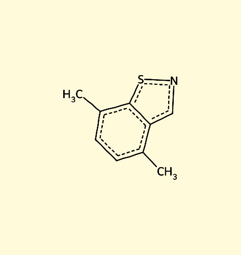 Cc1ccc(C)c2sncc12